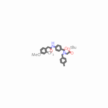 COc1ccc(CC(=O)Nc2ccc(C(=O)N(CC(=O)OC(C)(C)C)Cc3ccc(C)cc3)cc2)c(C(F)(F)F)c1